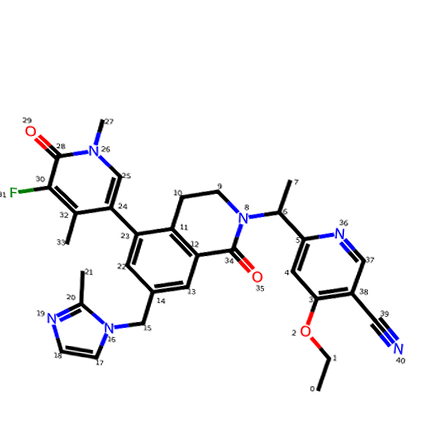 CCOc1cc(C(C)N2CCc3c(cc(Cn4ccnc4C)cc3-c3cn(C)c(=O)c(F)c3C)C2=O)ncc1C#N